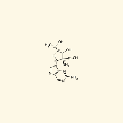 C#C[C@@]1(N)C(O)[C@@H]([C@H](C)O)O[C@H]1n1cnc2cnc(N)nc21